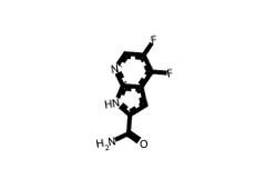 NC(=O)c1cc2c(F)c(F)cnc2[nH]1